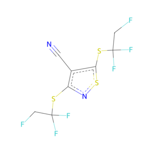 N#Cc1c(SC(F)(F)CF)nsc1SC(F)(F)CF